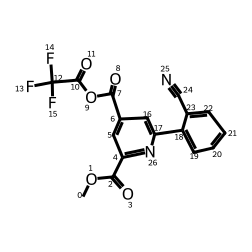 COC(=O)c1cc(C(=O)OC(=O)C(F)(F)F)cc(-c2ccccc2C#N)n1